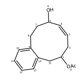 CC(=O)OC1C/C=C\C(O)[CH]Cc2ccccc2C1